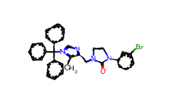 Cc1c(CN2CCN(c3cccc(Br)c3)C2=O)ncn1C(c1ccccc1)(c1ccccc1)c1ccccc1